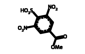 COC(=O)c1cc([N+](=O)[O-])c(S(=O)(=O)O)c([N+](=O)[O-])c1